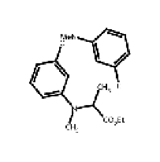 CCOC(=O)C(C)N(C)c1cccc(Cl)c1.CNc1cccc(Cl)c1